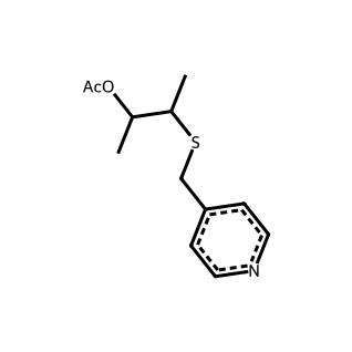 CC(=O)OC(C)C(C)SCc1ccncc1